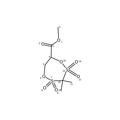 COC(=O)C1COS(=O)(=O)C(C)(C)S(=O)(=O)O1